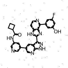 O=C(Nc1cncc(-c2cnc3[nH]nc(-c4nc5c(-c6cc(O)cc(F)c6)nccc5[nH]4)c3c2)c1)C1CCC1